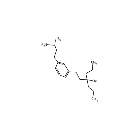 CCCC(O)(CCC)CCc1cccc(CCC(C)N)c1